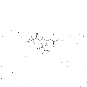 CNC(C)(C)C(=O)CCC(CC(=O)O)NS(C)(S)C(C)=O